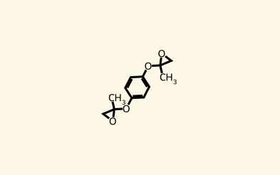 CC1(Oc2ccc(OC3(C)CO3)cc2)CO1